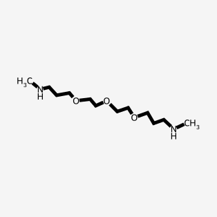 CNCCCOCCOCCOCCCNC